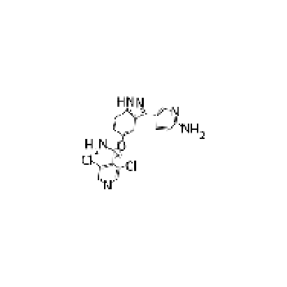 Nc1ccc(-c2n[nH]c3ccc(O[C@H](N)c4c(Cl)cncc4Cl)cc23)cn1